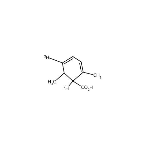 [2H]C1=CC=C(C)C([2H])(C(=O)O)C1C